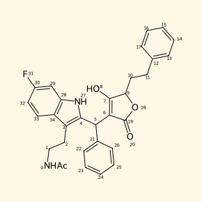 CC(=O)NCCc1c(C(C2=C(O)C(CCc3ccccc3)OC2=O)c2ccccc2)[nH]c2cc(F)ccc12